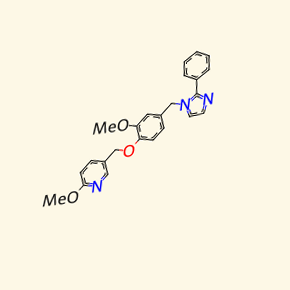 COc1ccc(COc2ccc(Cn3ccnc3-c3ccccc3)cc2OC)cn1